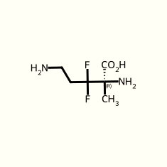 C[C@@](N)(C(=O)O)C(F)(F)CCN